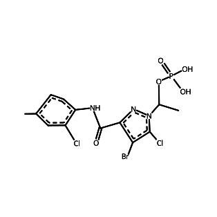 Cc1ccc(NC(=O)c2nn(C(C)OP(=O)(O)O)c(Cl)c2Br)c(Cl)c1